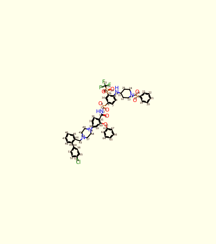 O=C(NS(=O)(=O)c1ccc(NC2CCN(S(=O)(=O)c3ccccc3)CC2)c(S(=O)(=O)C(F)(F)F)c1)c1ccc(N2CCN(Cc3ccccc3-c3ccc(Cl)cc3)CC2)cc1Oc1ccccc1